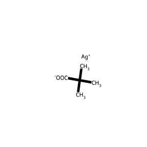 CC(C)(C)C(=O)[O-].[Ag+]